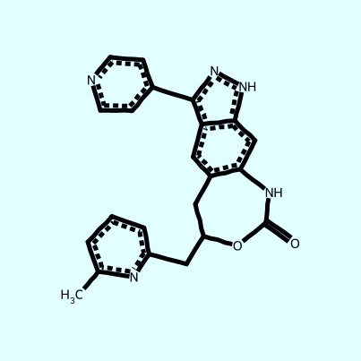 Cc1cccc(CC2Cc3cc4c(-c5ccncc5)n[nH]c4cc3NC(=O)O2)n1